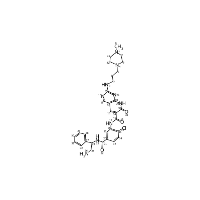 CN1CCN(CCCNc2ncc3cc(C(=O)Nc4cc(C(=O)NC(CN)c5ccccc5)ccc4Cl)c(=O)[nH]c3n2)CC1